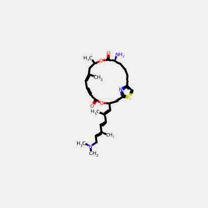 CC(/C=C/C(C)=C/C1Cc2nc(cs2)CCCC(N)C(=O)OC(C)C/C(C)=C/C=C\C(=O)O1)=C\CN(C)C